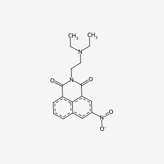 CCN(CC)CCN1C(=O)c2cccc3cc([N+](=O)[O-])cc(c23)C1=O